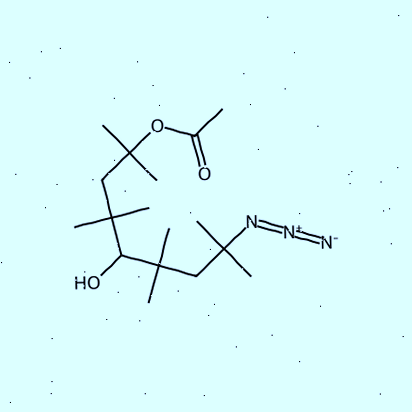 CC(=O)OC(C)(C)CC(C)(C)C(O)C(C)(C)CC(C)(C)N=[N+]=[N-]